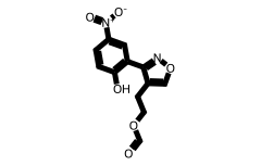 O=COCCc1conc1-c1cc([N+](=O)[O-])ccc1O